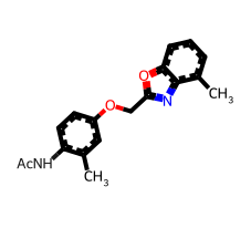 CC(=O)Nc1ccc(OCc2nc3c(C)cccc3o2)cc1C